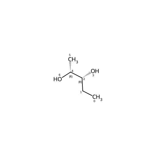 CC[C@@H](O)[C@@H](C)O